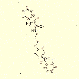 O=C(NCCCCC1CCN(S(=O)(=O)c2ccccc2Cl)CC1)c1cc2cnccc2[nH]1